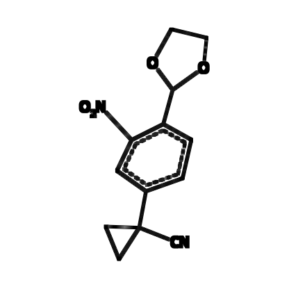 N#CC1(c2ccc(C3OCCO3)c([N+](=O)[O-])c2)CC1